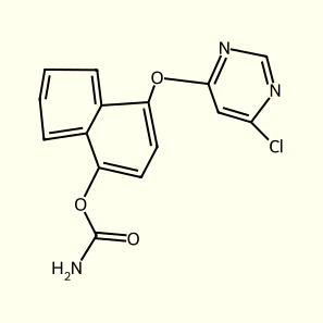 NC(=O)Oc1ccc(Oc2cc(Cl)ncn2)c2ccccc12